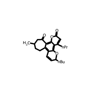 CCCCC1C=Cc2c3c(c4oc(=O)cc(CCC)c4c2O1)C(=O)CC(C)CC3